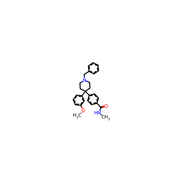 CNC(=O)c1ccc(C2(c3cccc(OC)c3)CCN(Cc3ccccc3)CC2)cc1